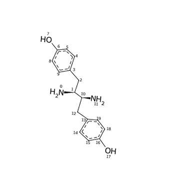 N[C@@H](Cc1ccc(O)cc1)[C@@H](N)Cc1ccc(O)cc1